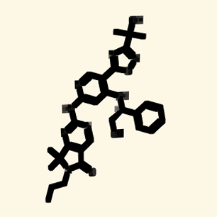 CCCN1C(=O)c2cnc(Nc3cc(N[C@H](CO)c4ccccc4)c(-c4nc(C(C)(C)O)no4)cn3)nc2C1(C)C